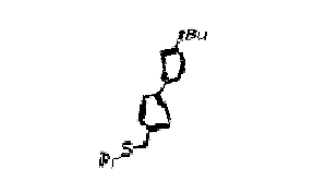 CC(C)SCc1ccc(-c2ccc(C(C)(C)C)cc2)cc1